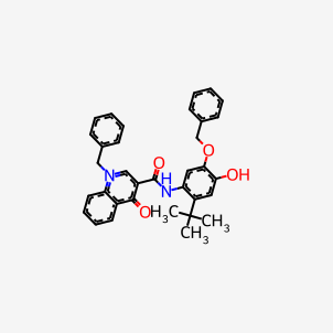 CC(C)(C)c1cc(O)c(OCc2ccccc2)cc1NC(=O)c1cn(Cc2ccccc2)c2ccccc2c1=O